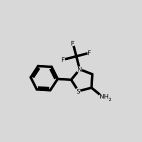 NC1CN(C(F)(F)F)C(c2ccccc2)S1